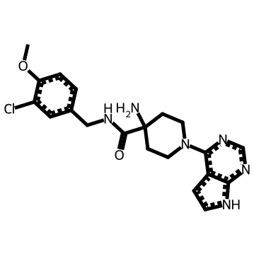 COc1ccc(CNC(=O)C2(N)CCN(c3ncnc4[nH]ccc34)CC2)cc1Cl